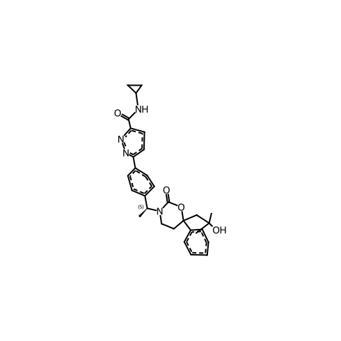 C[C@@H](c1ccc(-c2ccc(C(=O)NC3CC3)nn2)cc1)N1CCC(CC(C)(C)O)(c2ccccc2)OC1=O